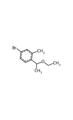 CCOC(C)c1ccc(Br)cc1C